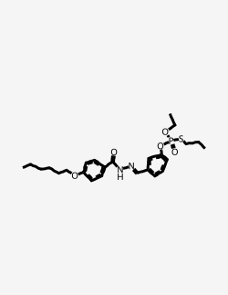 CCCCCCOc1ccc(C(=O)NN=Cc2cccc(OP(=O)(OCC)SCCC)c2)cc1